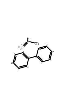 C=[NH+][O-].c1ccc(-c2ccccc2)cc1